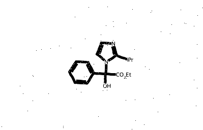 CCOC(=O)C(O)(c1ccccc1)n1ccnc1C(C)C